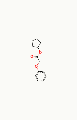 O=C(COc1ccccc1)OC1CCCC1